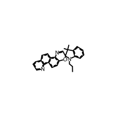 CCCN1c2ccccc2C(C)(C)C12C=Nc1c(ccc3c1ccc1cccnc13)O2